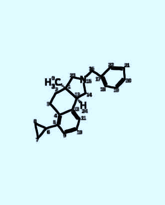 C[C@@]12CCc3c(C4CC4)cccc3[C@@H]1CN(Cc1ccccc1)C2